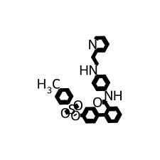 Cc1ccc(S(=O)(=O)Oc2ccc(-c3ccccc3C(=O)Nc3ccc(NCCc4ccccn4)cc3)cc2)cc1